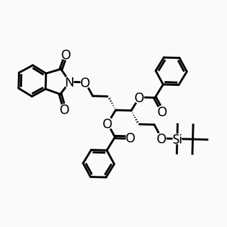 CC(C)(C)[Si](C)(C)OCC[C@@H](OC(=O)c1ccccc1)[C@@H](CCON1C(=O)c2ccccc2C1=O)OC(=O)c1ccccc1